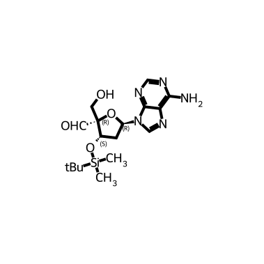 CC(C)(C)[Si](C)(C)O[C@H]1C[C@H](n2cnc3c(N)ncnc32)O[C@]1(C=O)CO